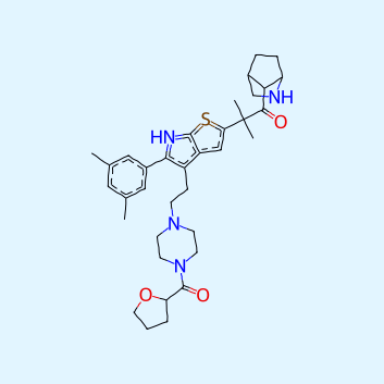 Cc1cc(C)cc(-c2[nH]c3sc(C(C)(C)C(=O)C4C5CCC4NC5)cc3c2CCN2CCN(C(=O)C3CCCO3)CC2)c1